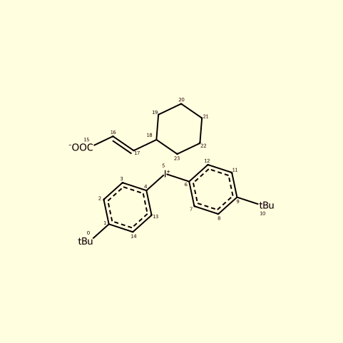 CC(C)(C)c1ccc([I+]c2ccc(C(C)(C)C)cc2)cc1.O=C([O-])/C=C/C1CCCCC1